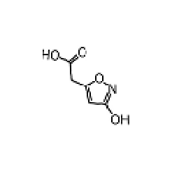 O=C(O)Cc1cc(O)no1